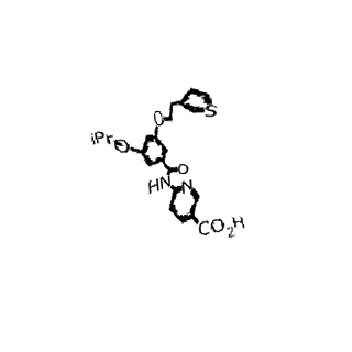 CC(C)Oc1cc(OCCc2ccsc2)cc(C(=O)Nc2ccc(C(=O)O)cn2)c1